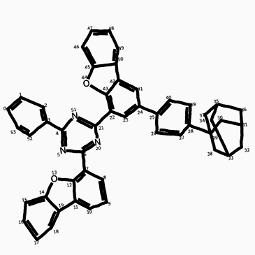 c1ccc(-c2nc(-c3cccc4c3oc3ccccc34)nc(-c3cc(-c4ccc(C56CC7CC(CC(C7)C5)C6)cc4)cc4c3oc3ccccc34)n2)cc1